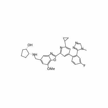 COc1cc(CN[C@@H]2CCC[C@@H]2O)cc2nc(-c3cc(-c4ccc(F)cc4-c4nncn4C)cc(C4CC4)n3)oc12